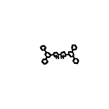 c1ccc(-c2cc(-c3ccccc3)cc(-c3ccc(-c4ccc(-c5cc(-c6ccccc6)cc(-c6ccccc6)c5)cn4)nc3)c2)cc1